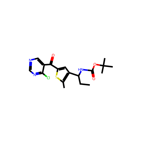 CCC(NC(=O)OC(C)(C)C)c1cc(C(=O)c2cncnc2Cl)sc1C